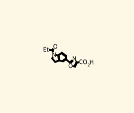 CCC(=O)N1CCc2cc(-c3nc(C(=O)O)co3)ccc21